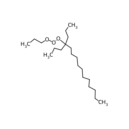 CCCCCCCCCCCC(CCC)(CCC)OOOCCC